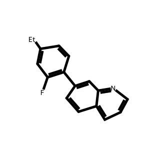 CCc1ccc(-c2ccc3cccnc3c2)c(F)c1